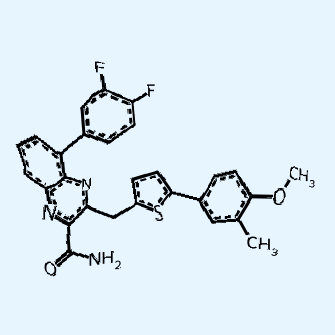 COc1ccc(-c2ccc(Cc3nc4c(-c5ccc(F)c(F)c5)cccc4nc3C(N)=O)s2)cc1C